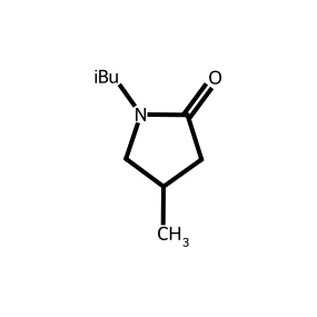 CCC(C)N1CC(C)CC1=O